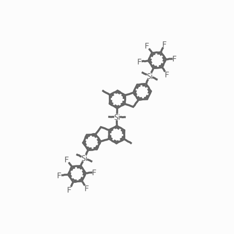 Cc1cc2c(c([Si](C)(C)c3cc(C)cc4c3Cc3ccc([Si](C)(C)c5c(F)c(F)c(F)c(F)c5F)cc3-4)c1)Cc1ccc([Si](C)(C)c3c(F)c(F)c(F)c(F)c3F)cc1-2